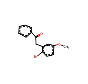 COc1ccc(Br)c(CC(=O)c2ccccc2)c1